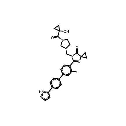 O=C(N1CC[C@@H](CN2C(=O)C3(CC3)N=C2c2ccc(-c3ccc(-c4ccn[nH]4)cc3)cc2F)C1)C1(O)CC1